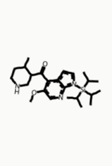 COc1cnc2c(ccn2[Si](C(C)C)(C(C)C)C(C)C)c1C(=O)C1CNCCC1C